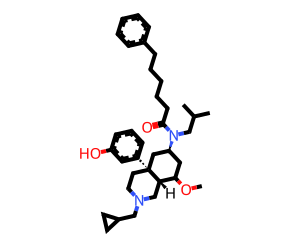 COC1C[C@H](N(CC(C)C)C(=O)CCCCCc2ccccc2)C[C@]2(c3cccc(O)c3)CCN(CC3CC3)C[C@@H]12